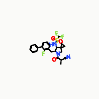 C[C@H](C#N)C(=O)N1CC2(CC2)[C@H](NS(=O)(=O)C(F)F)[C@@H]1Cc1cccc(-c2ccccc2)c1F